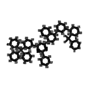 CC1(C)c2ccccc2-c2cccc(-c3cccc(-c4ccc(-c5cc(-c6ccc7c(c6)C(c6ccccc6)(c6ccccc6)c6ccccc6-7)nc(-c6ccccc6)n5)c5ccccc45)c3)c21